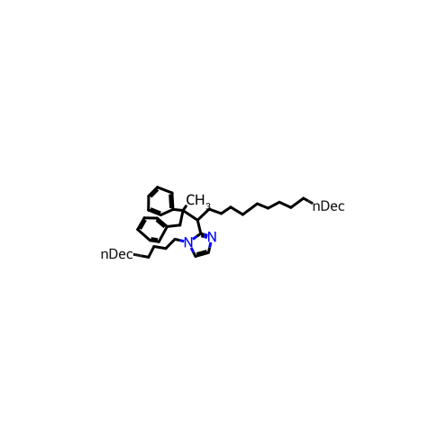 CCCCCCCCCCCCCCCCCCCC(c1nccn1CCCCCCCCCCCCCC)C(C)(Cc1ccccc1)c1ccccc1